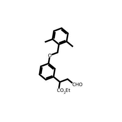 CCOC(=O)C(CC=O)c1cccc(OCc2c(C)cccc2C)c1